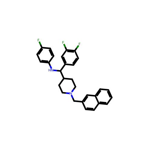 Fc1ccc(NC(c2ccc(F)c(F)c2)C2CCN(Cc3ccc4ccccc4c3)CC2)cc1